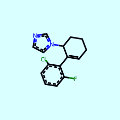 Fc1cccc(Cl)c1C1=[C]CCCC1n1ccnc1